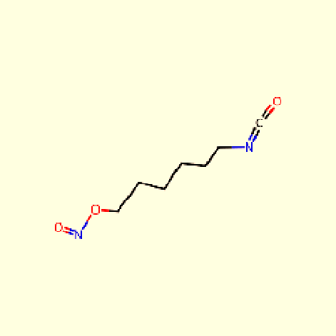 O=C=NCCCCCCON=O